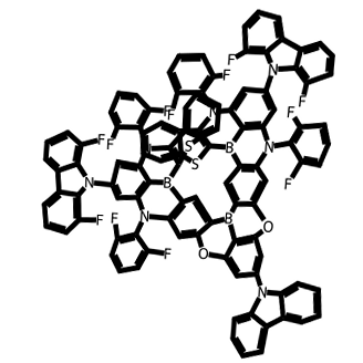 Fc1cccc(F)c1N1c2cc3c(cc2B2c4sc5ccccc5c4N(c4c(F)cccc4F)c4cc(-n5c6c(F)cccc6c6cccc(F)c65)cc1c42)B1c2cc4c(cc2Oc2cc(-n5c6ccccc6c6ccccc65)cc(c21)O3)N(c1c(F)cccc1F)c1cc(-n2c3c(F)cccc3c3cccc(F)c32)cc2c1B4c1sc3ccccc3c1N2c1c(F)cccc1F